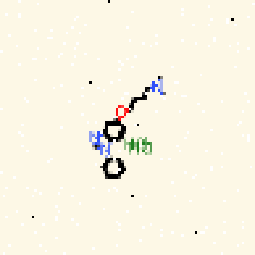 CN(C)CCCCOc1ccc2c(c1)ncn2-c1ccccc1.Cl.Cl